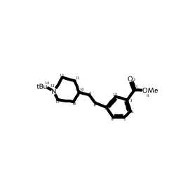 COC(=O)c1cccc(CCC2CCN(C(C)(C)C)CC2)c1